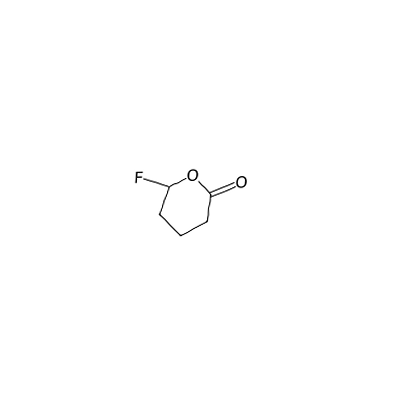 O=C1CCCC(F)O1